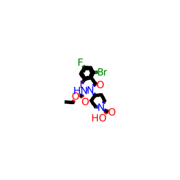 CCOC(=O)NN(C(=O)c1c(Br)cc(F)cc1I)C1CCN(C(=O)O)CC1